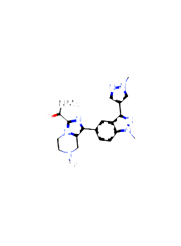 CNC(=O)c1nc(-c2ccc3c(c2)c(-c2cnn(C)c2)nn3C)c2n1CCN(C(C)=O)C2